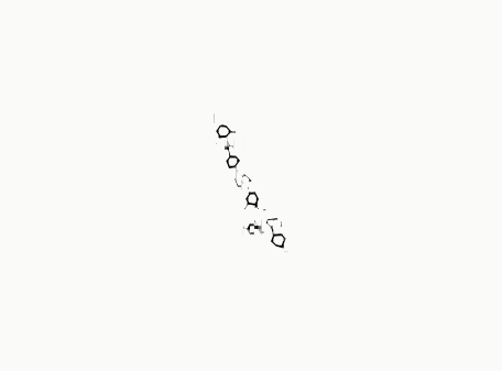 Cc1cc(N2CCN(c3ccc(C(=O)Nc4c(F)cc(F)cc4F)cc3)CC2)ccc1OC[C@@H]1CO[C@@](Cn2cncn2)(c2ccc(F)cc2F)C1